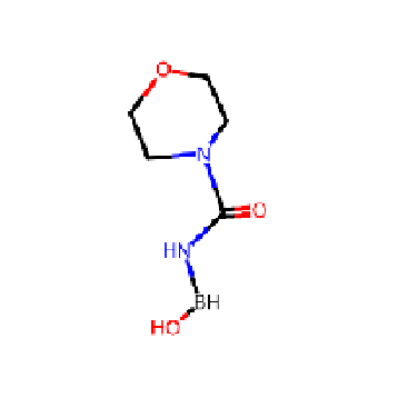 O=C(NBO)N1CCOCC1